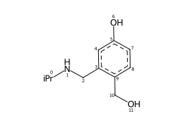 CC(C)NCc1cc(O)ccc1CO